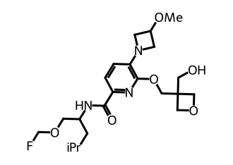 COC1CN(c2ccc(C(=O)NC(COCF)CC(C)C)nc2OCC2(CO)COC2)C1